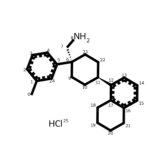 Cc1cccc([C@]2(CN)CC[C@H](c3cccc4c3CCCC4)CC2)c1.Cl